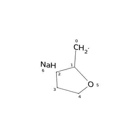 [CH2]C1CCCO1.[NaH]